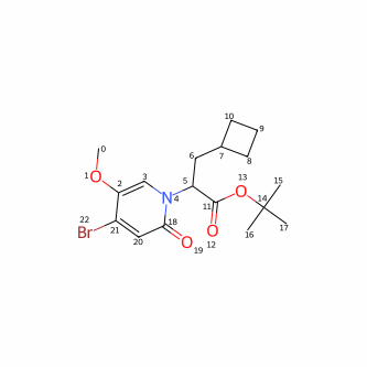 COc1cn(C(CC2CCC2)C(=O)OC(C)(C)C)c(=O)cc1Br